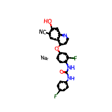 N#Cc1cc2c(Oc3ccc(NC(=O)Nc4ccc(F)cc4)c(F)c3)ccnc2cc1O.[Na]